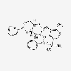 Cc1ccc(C(C)(C)C)cc1S[C@@H]1O[C@@H]2COC(c3ccccc3)O[C@H]2[C@H](O)[C@H]1OCc1ccccc1